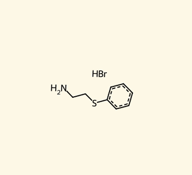 Br.NCCSc1ccccc1